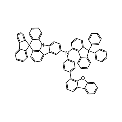 c1ccc(C2(c3ccccc3)c3ccccc3-c3c(N(c4ccc(-c5cccc6c5oc5ccccc56)cc4)c4ccc5c(c4)c4cccc6c4n5-c4ccccc4C64c5ccccc5-c5ccccc54)cccc32)cc1